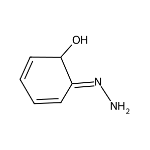 NN=C1C=CC=CC1O